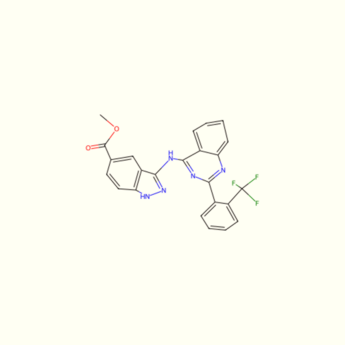 COC(=O)c1ccc2[nH]nc(Nc3nc(-c4ccccc4C(F)(F)F)nc4ccccc34)c2c1